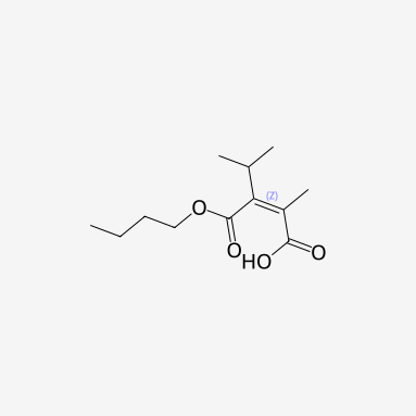 CCCCOC(=O)/C(=C(/C)C(=O)O)C(C)C